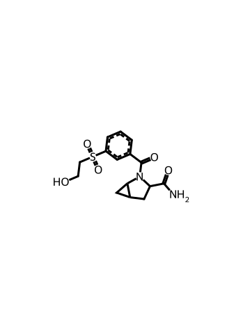 NC(=O)C1CC2CC2N1C(=O)c1cccc(S(=O)(=O)CCO)c1